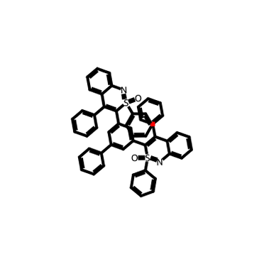 O=S1(c2ccccc2)=Nc2ccccc2C(c2ccccc2)=C1c1cc(C2=C(c3ccccc3)c3ccccc3N=S2(=O)c2ccccc2)cc(-c2ccccc2)c1